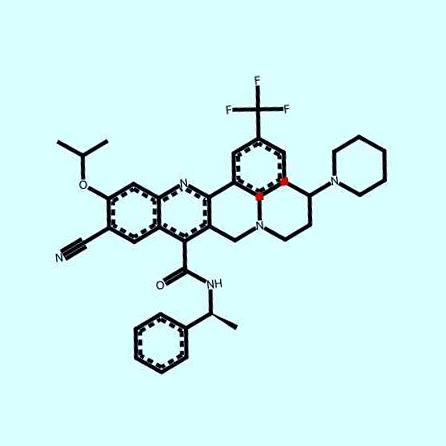 CC(C)Oc1cc2nc(-c3cccc(C(F)(F)F)c3)c(CN3CCC(N4CCCCC4)CC3)c(C(=O)N[C@@H](C)c3ccccc3)c2cc1C#N